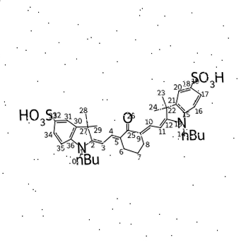 CCCCN1/C(=C/C=C2\CCC/C(=C\C=C3\N(CCCC)c4ccc(S(=O)(=O)O)cc4C3(C)C)C2=O)C(C)(C)c2cc(S(=O)(=O)O)ccc21